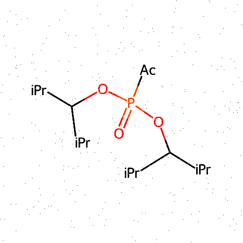 CC(=O)P(=O)(OC(C(C)C)C(C)C)OC(C(C)C)C(C)C